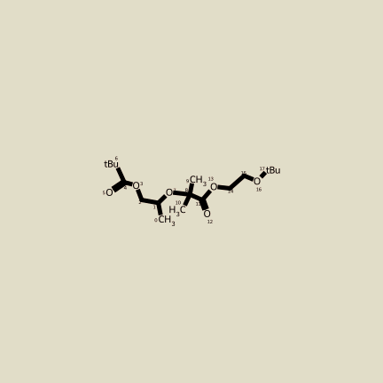 CC(COC(=O)C(C)(C)C)OC(C)(C)C(=O)OCCOC(C)(C)C